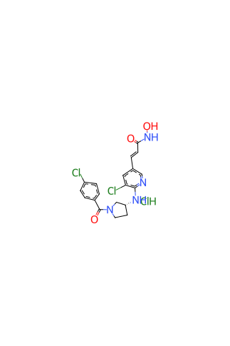 Cl.O=C(C=Cc1cnc(N[C@@H]2CCN(C(=O)c3ccc(Cl)cc3)C2)c(Cl)c1)NO